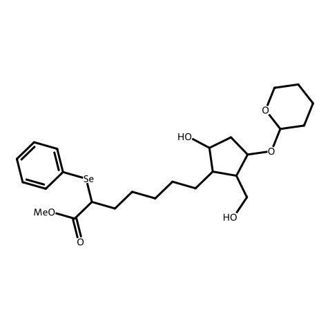 COC(=O)C(CCCCCC1C(O)CC(OC2CCCCO2)C1CO)[Se]c1ccccc1